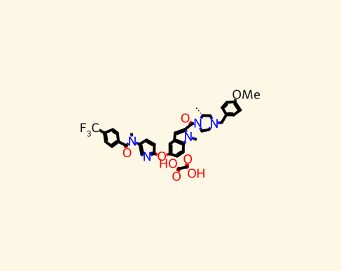 COc1ccc(CN2CCN(C(=O)c3cc4cc(Oc5ccc(N(C)C(=O)c6ccc(C(F)(F)F)cc6)cn5)ccc4n3C)[C@H](C)C2)cc1.O=C(O)C(=O)O